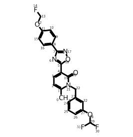 Cc1ccc(-c2nc(-c3ccc(OCF)cc3)no2)c(=O)n1Cc1cccc(OC(F)F)c1